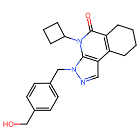 O=c1c2c(c3cnn(Cc4ccc(CO)cc4)c3n1C1CCC1)CCCC2